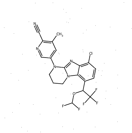 Cc1cc(N2CCCn3c2nc2c(Cl)ccc(C(OC(F)F)C(F)(F)F)c23)cnc1C#N